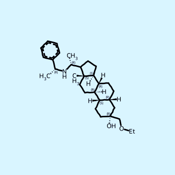 CCOC[C@@]1(O)CC[C@H]2[C@H](CC[C@@H]3[C@@H]2CC[C@]2(C)C([C@@H](C)N[C@H](C)c4ccccc4)CC[C@@H]32)C1